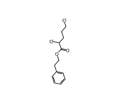 O=C(OCCc1ccccc1)C(Cl)CCCCl